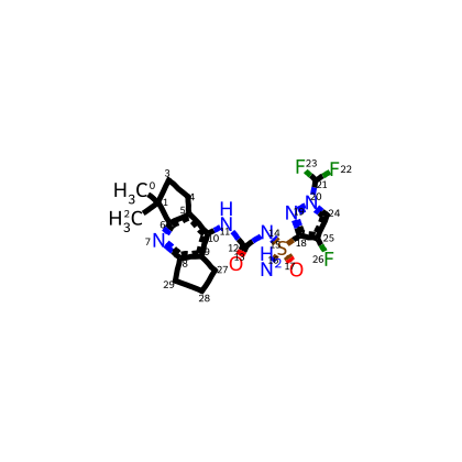 CC1(C)CCc2c1nc1c(c2NC(=O)N=S(N)(=O)c2nn(C(F)F)cc2F)CCC1